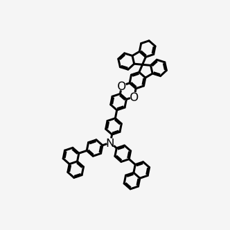 C1=CC2C3=C(C=CCC3)C3(c4ccccc4-c4cc5c(cc43)Oc3ccc(-c4ccc(N(c6ccc(-c7cccc8ccccc78)cc6)c6ccc(-c7cccc8ccccc78)cc6)cc4)cc3O5)C2C=C1